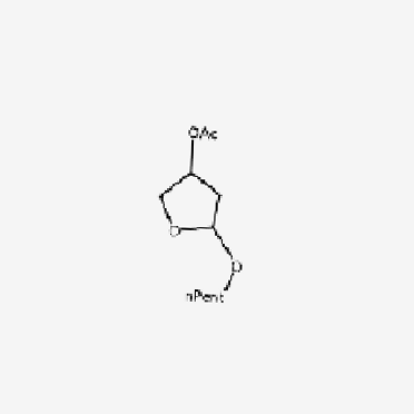 CCCCCOC1CC(OC(C)=O)CO1